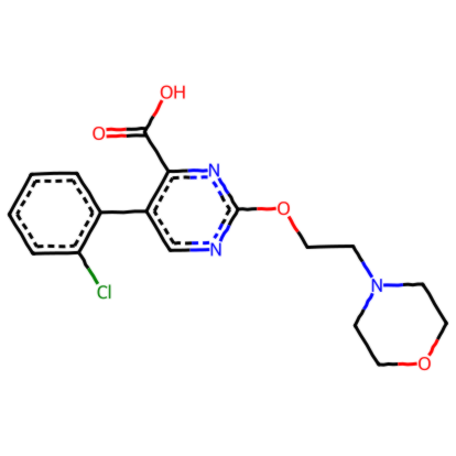 O=C(O)c1nc(OCCN2CCOCC2)ncc1-c1ccccc1Cl